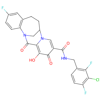 O=C(NCc1ccc(F)c(Cl)c1F)c1cn2c(c(O)c1=O)C(=O)N1CC2CCc2cc(F)ccc21